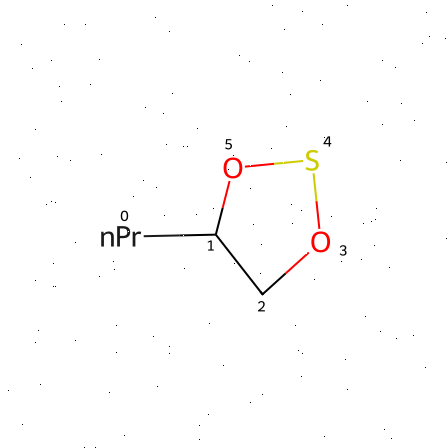 CCCC1COSO1